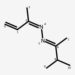 C=C/C(C)=N\N=C(/C)C(C)C